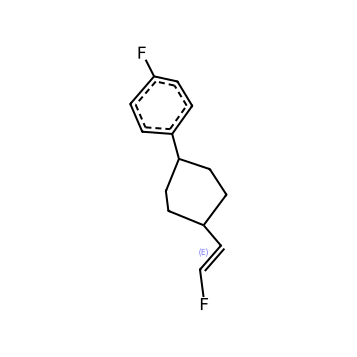 F/C=C/C1CCC(c2ccc(F)cc2)CC1